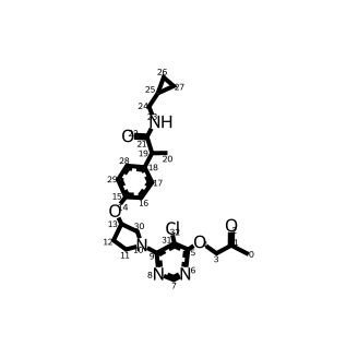 CC(=O)COc1ncnc(N2CCC(Oc3ccc(C(C)C(=O)NCC4CC4)cc3)C2)c1Cl